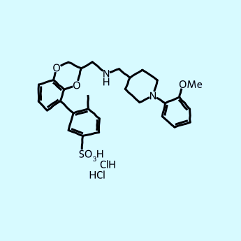 COc1ccccc1N1CCC(CNCC2COc3cccc(-c4cc(S(=O)(=O)O)ccc4C)c3O2)CC1.Cl.Cl